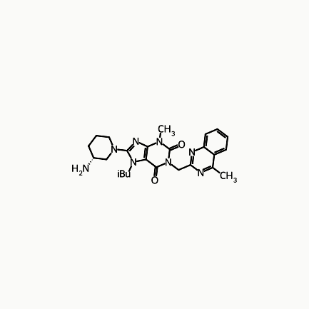 CCC(C)n1c(N2CCC[C@@H](N)C2)nc2c1c(=O)n(Cc1nc(C)c3ccccc3n1)c(=O)n2C